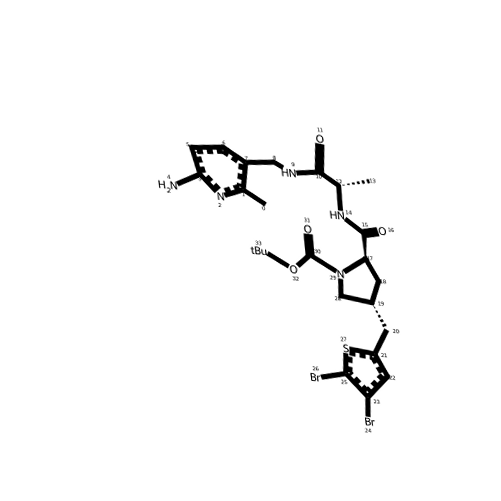 Cc1nc(N)ccc1CNC(=O)[C@H](C)NC(=O)[C@H]1C[C@H](Cc2cc(Br)c(Br)s2)CN1C(=O)OC(C)(C)C